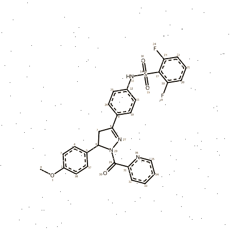 COc1ccc(C2CC(c3ccc(NS(=O)(=O)c4c(F)cccc4F)cc3)=NN2C(=O)c2ccccn2)cc1